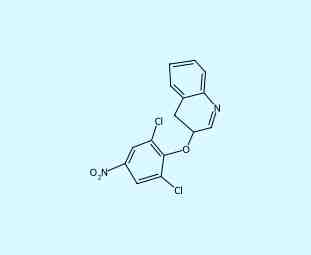 O=[N+]([O-])c1cc(Cl)c(OC2C=Nc3ccccc3C2)c(Cl)c1